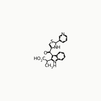 CC(C(=O)O)c1[nH]c2ccccc2c1C(=O)C1=CSC(c2cccnc2)N1